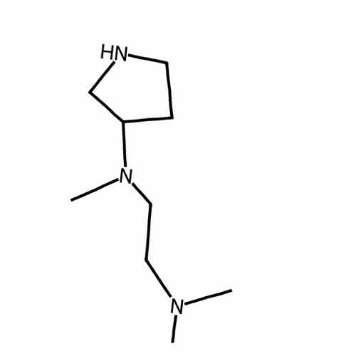 CN(C)CCN(C)C1CCNC1